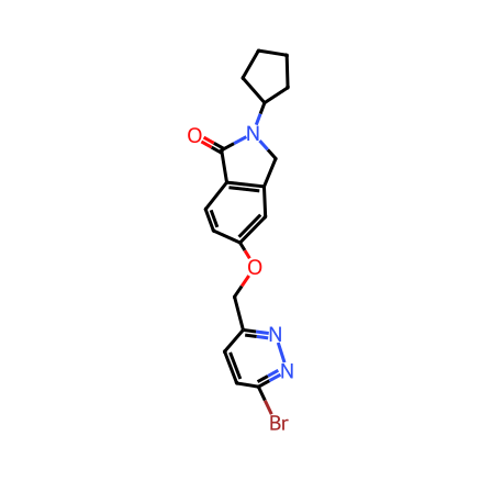 O=C1c2ccc(OCc3ccc(Br)nn3)cc2CN1C1CCCC1